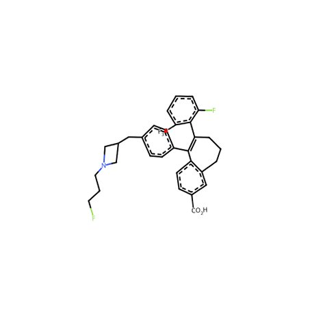 O=C(O)c1ccc2c(c1)CCCC(c1c(F)cccc1C(F)(F)F)=C2c1ccc(CC2CN(CCCF)C2)cc1